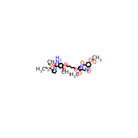 CCSC(SCC)[C@@H]1CCCN1C(=O)c1cc(OC)c(OCCCCOc2cn3c(c2OC)C=[N+]([O-])C2=CCC(OC(C)=O)CC2C3=O)cc1N